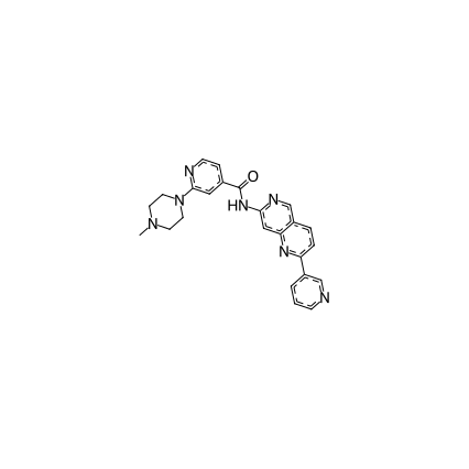 CN1CCN(c2cc(C(=O)Nc3cc4nc(-c5cccnc5)ccc4cn3)ccn2)CC1